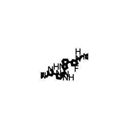 CN(C)CCNc1cc(F)cc(-c2cccc3[nH]c(-c4n[nH]c5ccc(-c6cncc(CN(C)C)c6)nc45)cc23)c1